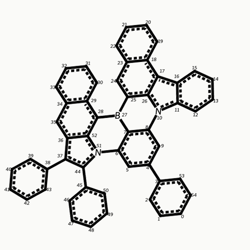 c1ccc(-c2cc3c4c(c2)-n2c5ccccc5c5c6ccccc6cc(c52)B4c2c4ccccc4cc4c(-c5ccccc5)c(-c5ccccc5)n-3c24)cc1